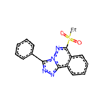 CCS(=O)(=O)c1nn2c(-c3ccccc3)nnc2c2ccccc12